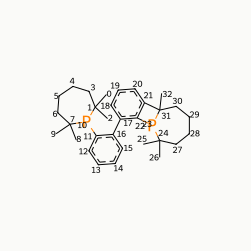 CC1(C)CCCCC(C)(C)P1c1ccccc1-c1cccc2c1P1C(C)(C)CCCCC21C